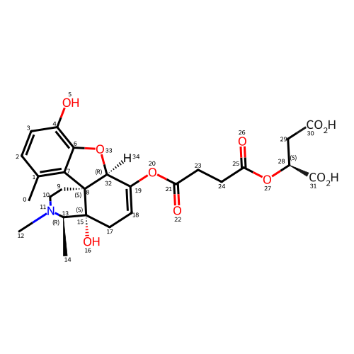 Cc1ccc(O)c2c1[C@]13CCN(C)[C@H](C)[C@]1(O)CC=C(OC(=O)CCC(=O)O[C@@H](CC(=O)O)C(=O)O)[C@@H]3O2